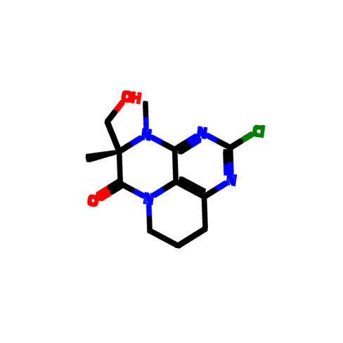 CN1c2nc(Cl)nc3c2N(CCC3)C(=O)[C@]1(C)CO